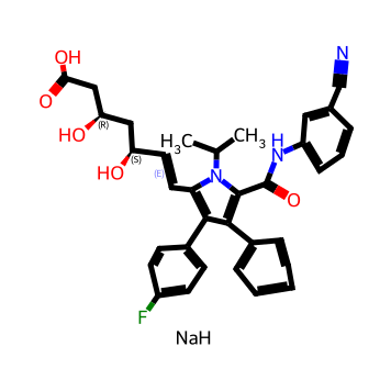 CC(C)n1c(/C=C/[C@@H](O)C[C@@H](O)CC(=O)O)c(-c2ccc(F)cc2)c(-c2ccccc2)c1C(=O)Nc1cccc(C#N)c1.[NaH]